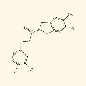 Cc1cc2c(cc1Cl)CN([C@H](C)CCc1ccc(Cl)c(Cl)c1)C2